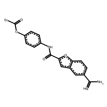 CCC(=O)Oc1ccc(NC(=O)c2cc3cc(C(=N)N)ccc3o2)cc1